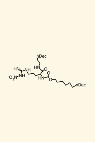 CCCCCCCCCCCCCCCCOC(=O)NC(CCCNC(=N)N[N+](=O)[O-])C(=O)NCCCCCCCCCCCC